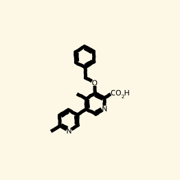 Cc1ccc(-c2cnc(C(=O)O)c(OCc3ccccc3)c2C)cn1